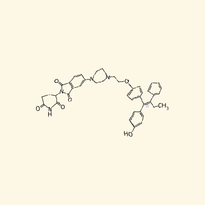 CC/C(=C(\c1ccc(O)cc1)c1ccc(OCCN2CCN(c3ccc4c(c3)C(=O)N(C3CCC(=O)NC3=O)C4=O)CC2)cc1)c1ccccc1